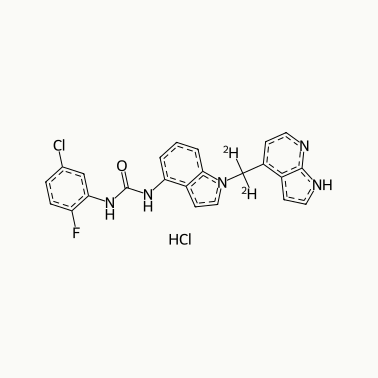 Cl.[2H]C([2H])(c1ccnc2[nH]ccc12)n1ccc2c(NC(=O)Nc3cc(Cl)ccc3F)cccc21